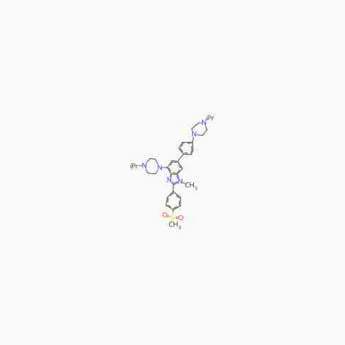 CC(C)N1CCN(c2ccc(-c3cc(N4CCN(C(C)C)CC4)c4nc(-c5ccc(S(C)(=O)=O)cc5)n(C)c4c3)cc2)CC1